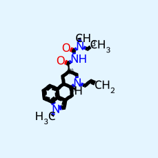 C=CCN1C[C@H](C(=O)NC(=O)N(C)CC)CC2c3cccc4c3c(cn4C)C[C@H]21